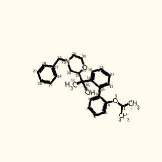 CC(C)Oc1ccccc1-c1ccccc1C(C)(O)C1CN(Cc2ccccc2)CCO1